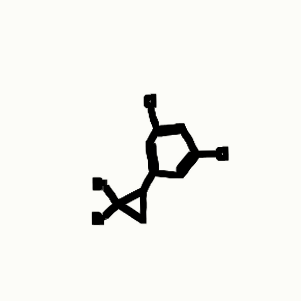 Clc1cc(Cl)cc(C2CC2(Br)Br)c1